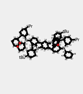 CC(C)c1ccc(-c2ccccc2)c(N(c2ccccc2)c2ccc3c4cc5c(cc4n4c6ccc(C(C)(C)C)cc6c2c34)c2ccc(N(c3ccccc3)c3cc(C(C)C)ccc3-c3ccccc3)c3c4cc(C(C)(C)C)ccc4n5c23)c1